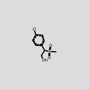 CS(=O)(=O)C(CO)c1ccc(Cl)cc1